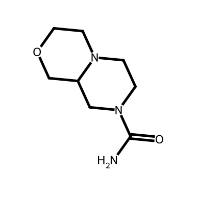 NC(=O)N1CCN2CCOCC2C1